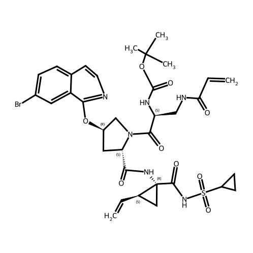 C=CC(=O)NC[C@H](NC(=O)OC(C)(C)C)C(=O)N1C[C@H](Oc2nccc3ccc(Br)cc23)C[C@H]1C(=O)N[C@]1(C(=O)NS(=O)(=O)C2CC2)C[C@H]1C=C